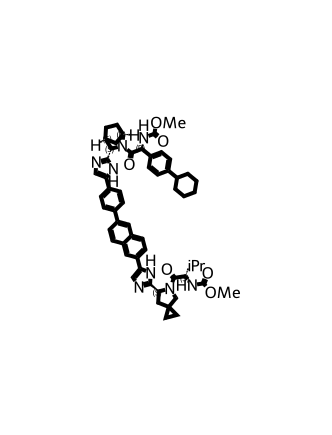 COC(=O)N[C@H](C(=O)N1CC2(CC2)C[C@H]1c1ncc(-c2ccc3cc(-c4ccc(-c5cnc([C@@H]6[C@H]7CC[C@H](C7)N6C(=O)[C@H](NC(=O)OC)c6ccc(C7CCCCC7)cc6)[nH]5)cc4)ccc3c2)[nH]1)C(C)C